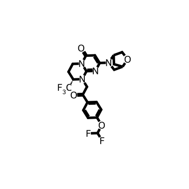 O=C(CN1c2nc(N3CC4CC3CO4)cc(=O)n2CC[C@H]1C(F)(F)F)c1ccc(OC(F)F)cc1